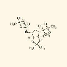 CC(C)(C)OC(=O)NC1C[C@H](C(C)(C)S(C)(=O)=O)[C@H]2OC(C)(C)O[C@@H]12